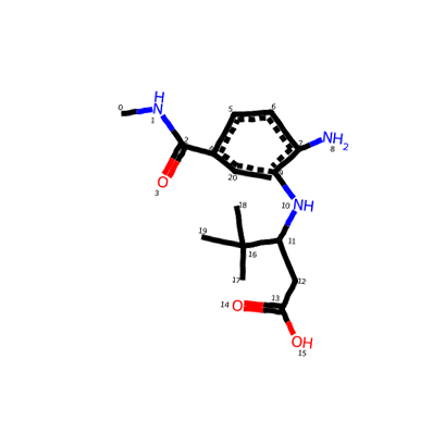 CNC(=O)c1ccc(N)c(NC(CC(=O)O)C(C)(C)C)c1